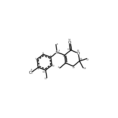 CC1=C(N(C)c2ccc(Cl)c(C)c2)C(=O)OC(C)(C)C1